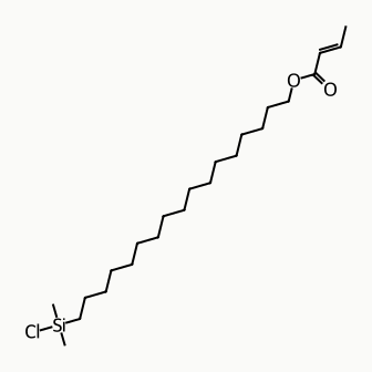 CC=CC(=O)OCCCCCCCCCCCCCCCCC[Si](C)(C)Cl